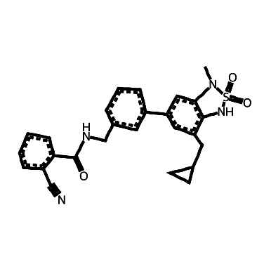 CN1c2cc(-c3cccc(CNC(=O)c4ccccc4C#N)c3)cc(CC3CC3)c2NS1(=O)=O